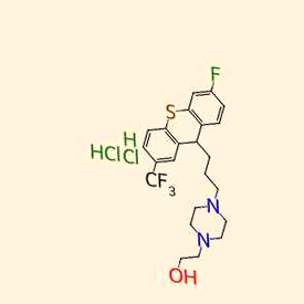 Cl.Cl.OCCN1CCN(CCCC2c3ccc(F)cc3Sc3ccc(C(F)(F)F)cc32)CC1